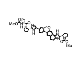 COC(=O)N[C@H](C(=O)N1CCC[C@H]1c1ncc(-c2ccc3c(c2)COc2cc4c(ccc5nc(C6CCCN6C(=O)OC(C)(C)C)[nH]c54)cc2-3)[nH]1)C(C)C